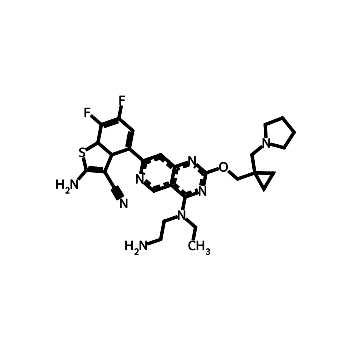 CCN(CCN)c1nc(OCC2(CN3CCCC3)CC2)nc2cc(C3=CC(F)=C(F)C4SC(N)=C(C#N)C34)ncc12